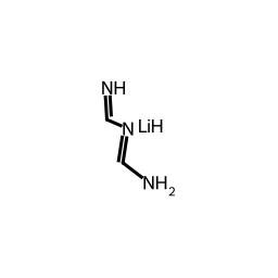 N=C/N=C/N.[LiH]